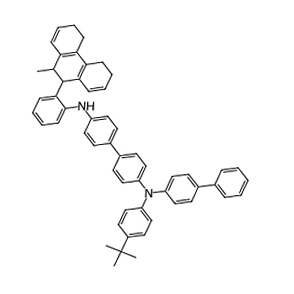 CC1C2=C(CCC=C2)C2=C(C=CCC2)C1c1ccccc1Nc1ccc(-c2ccc(N(c3ccc(-c4ccccc4)cc3)c3ccc(C(C)(C)C)cc3)cc2)cc1